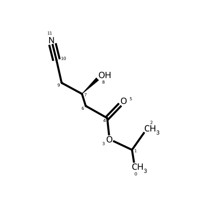 CC(C)OC(=O)C[C@H](O)CC#N